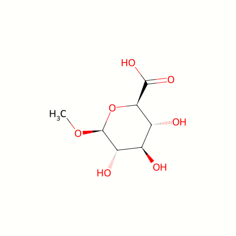 CO[C@H]1O[C@@H](C(=O)O)[C@H](O)[C@@H](O)[C@@H]1O